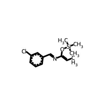 C/C=C(/N=C/c1cccc(Cl)c1)O[Si](C)(C)C